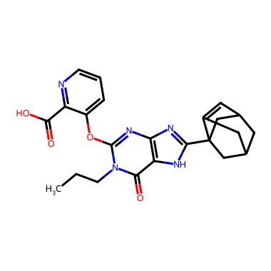 CCCn1c(Oc2cccnc2C(=O)O)nc2nc(C34CC5C=C3CC(C5)C4)[nH]c2c1=O